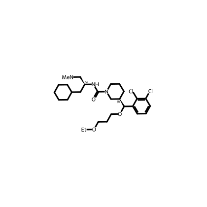 CCOCCCOC(c1cccc(Cl)c1Cl)[C@@H]1CCCN(C(=O)N[C@H](CNC)CC2CCCCC2)C1